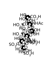 CC(=O)NC1[C@@H](OC2[C@@H](C(=O)O)O[C@@H](O[C@H]3[C@H](O)[C@@H](NS(=O)(=O)O)[C@@H](O[C@H]4[C@H](O)[C@@H](CS(=O)(=O)O)[C@H](O[C@H]5[C@H](O)[C@@H](NS(=O)(=O)O)C(O)O[C@@H]5COS(=O)(=O)O)O[C@H]4C(=O)O)O[C@@H]3COS(=O)(=O)O)[C@H](O)[C@H]2O)O[C@H](COS(=O)(=O)O)[C@@H](O[C@@H]2OC(C(=O)O)=C[C@H](O)[C@H]2O)[C@@H]1O